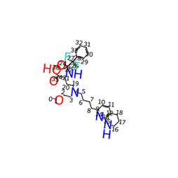 COCCN(CCCCc1ccc2c(n1)NCCC2)CCC(NC(=O)C(F)(F)c1ccccc1)C(=O)O